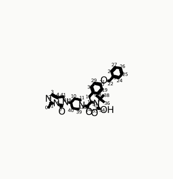 Cc1ncc2n1C(=O)N(C1CCN(C(=O)[C@@H](Cc3ccc(OCc4ccccc4)cc3)N(C(=O)O)C(C)(C)C)CC1)C2